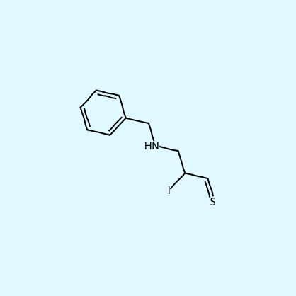 S=CC(I)CNCc1ccccc1